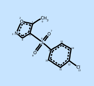 Cc1oncc1S(=O)(=O)c1ccc(Cl)cc1